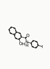 O=C(Nc1ccc(I)cc1)c1cc2ccccc2cc1O